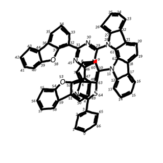 c1ccc(-c2nc3cccc(-n4c5ccccc5c5ccc6c7ccccc7n(-c7nc(-c8cccc9c8oc8ccccc89)nc(-c8cccc9c8oc8ccccc89)n7)c6c54)c3s2)cc1